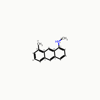 CNc1cccc2cc3cccc(C)c3cc12